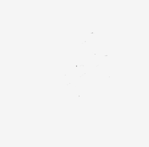 CCCCCCCCCCC(=O)OS.CCCCCCCCCCC(=O)OS.CCCCCCCCCCC(=O)OS.CCCCCCCCCCC(=O)OS.OCC(CO)(CO)CO